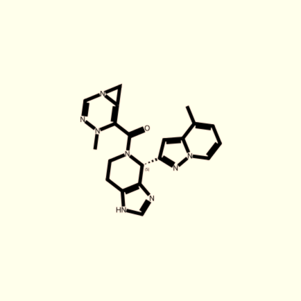 Cc1cccn2nc([C@@H]3c4nc[nH]c4CCN3C(=O)C3=C4CN4C=NN3C)cc12